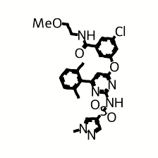 COCCNC(=O)c1cc(Cl)cc(Oc2cc(-c3c(C)cccc3C)nc(NS(=O)(=O)c3cnn(C)c3)n2)c1